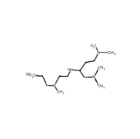 CN(C)CCC(CN(C)C)NCCN(C)CCC(=O)O